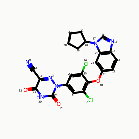 N#Cc1nn(-c2cc(Cl)c(Oc3ccc4ncn(C5CCCC5)c4c3)c(Cl)c2)c(=O)[nH]c1=O